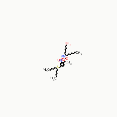 BCCCCCCC(CCCCCCC)NC(=O)OC(C)c1ccc(CSC(CCCCC)CCCCCC)cc1[N+](=O)[O-]